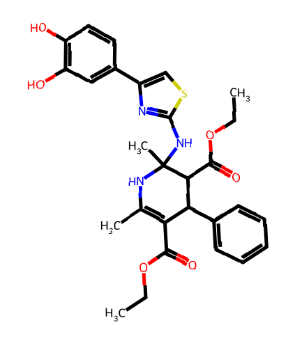 CCOC(=O)C1=C(C)NC(C)(Nc2nc(-c3ccc(O)c(O)c3)cs2)C(C(=O)OCC)C1c1ccccc1